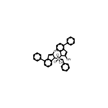 CCCC1=Cc2c(-c3ccccc3)cccc2[CH]1[Zr]([CH3])([Cl])([Cl])(=[CH]c1ccccc1)[CH]1C(CCC)=Cc2c(-c3ccccc3)cccc21